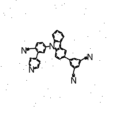 N#Cc1cc(C#N)cc(-c2ccc3c(c2)c2ccccc2n3-c2ccc(C#N)c(-c3ccncc3)c2)c1